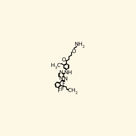 C=CCC(F)(F)c1c(F)cccc1-c1cnc2c(Nc3ccc(C(=O)CCCCOCCN)c(CC)c3)nccn12